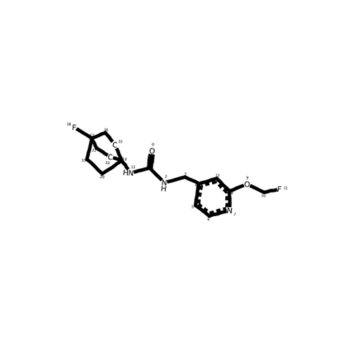 O=C(NCc1ccnc(OCF)c1)NC12CCC(F)(CC1)CC2